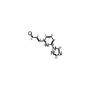 O=CC=Cc1cccc(-n2cncn2)n1